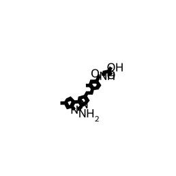 Cc1ccc2c(c1)nc(N)c1ncc(CCc3ccc(C(=O)NCC(=O)O)cc3C)cc12